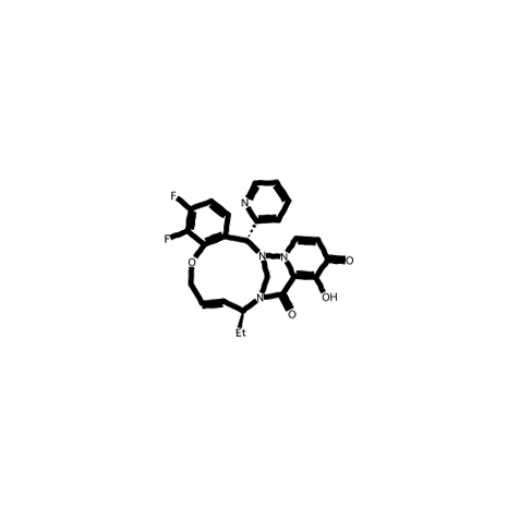 CC[C@H]1/C=C/COc2c(ccc(F)c2F)[C@H](c2ccccn2)N2CN1C(=O)c1c(O)c(=O)ccn12